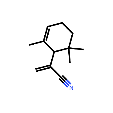 C=C(C#N)C1C(C)=CCCC1(C)C